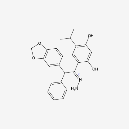 CC(C)c1cc(/C(=N/N)C(c2ccccc2)c2ccc3c(c2)OCO3)c(O)cc1O